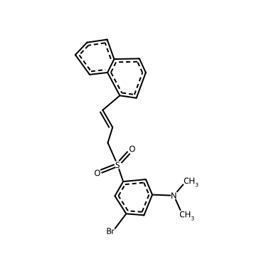 CN(C)c1cc(Br)cc(S(=O)(=O)CC=Cc2cccc3ccccc23)c1